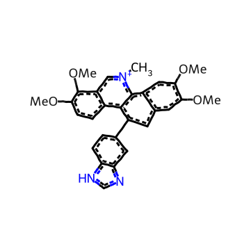 COc1cc2cc(-c3ccc4[nH]cnc4c3)c3c4ccc(OC)c(OC)c4c[n+](C)c3c2cc1OC